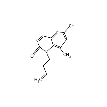 C=CCCn1c(=O)ncc2cc(C)cc(C)c21